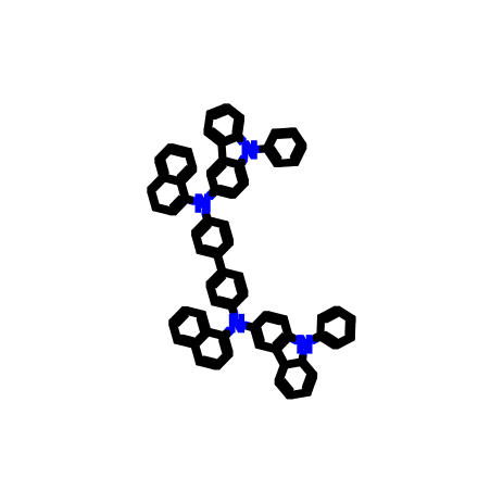 C1=CC2c3cc(N(c4ccc(-c5ccc(N(C6=CCCc7ccccc76)c6ccc7c(c6)c6ccccc6n7-c6ccccc6)cc5)cc4)c4cccc5ccccc45)ccc3N(c3ccccc3)C2C=C1